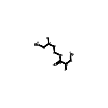 CC(C)CC(C)C(=O)OCCC(C)CC(C)(C)C